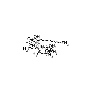 CCCCCCCCCCCCCCCC(=O)OC[C@H](O)[C@H]1OC(=O)C(O)=C1O.Cc1c(C)c2c(c(C)c1O)CC[C@@](C)(CCC[C@H](C)CCC[C@H](C)CCCC(C)C)O2